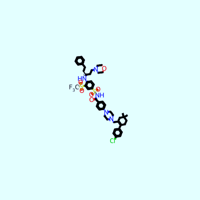 CC1(C)CCC(c2ccc(Cl)cc2)=C(CN2CCN(c3ccc(C(=O)NS(=O)(=O)c4ccc(N[C@@H](CCc5ccccc5)CCN5CCOCC5)c(S(=O)(=O)C(F)(F)F)c4)cc3)CC2)C1